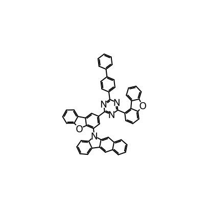 c1ccc(-c2ccc(-c3nc(-c4cc(-n5c6ccccc6c6cc7ccccc7cc65)c5oc6ccccc6c5c4)nc(-c4cccc5oc6ccccc6c45)n3)cc2)cc1